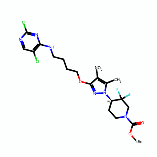 Cc1c([N+](=O)[O-])c(OCCCCNc2nc(Cl)ncc2Cl)nn1[C@@H]1CCN(C(=O)OC(C)(C)C)CC1(F)F